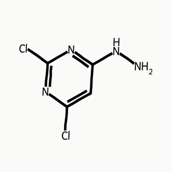 NNc1cc(Cl)nc(Cl)n1